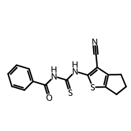 N#Cc1c(NC(=S)NC(=O)c2ccccc2)sc2c1CCC2